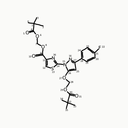 CC(C)(C)C(=O)OCOC(=O)c1csc(-n2nc(-c3ccc(F)cc3)cc2OCOC(=O)C(C)(C)C)n1